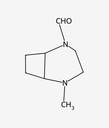 CN1CCN(C=O)C2CCC21